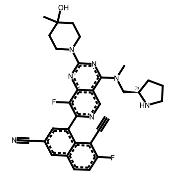 C#Cc1c(F)ccc2cc(C#N)cc(-c3ncc4c(N(C)C[C@H]5CCCN5)nc(N5CCC(C)(O)CC5)nc4c3F)c12